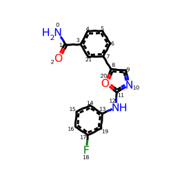 NC(=O)c1cccc(-c2cnc(Nc3cccc(F)c3)o2)c1